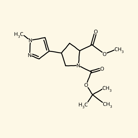 COC(=O)C1CC(c2cnn(C)c2)CN1C(=O)OC(C)(C)C